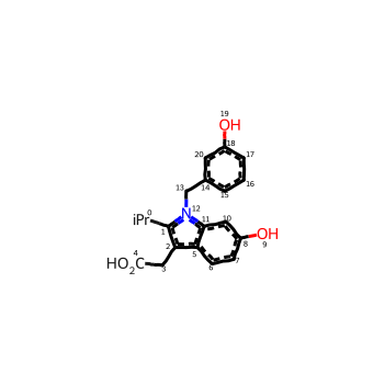 CC(C)c1c(CC(=O)O)c2ccc(O)cc2n1Cc1cccc(O)c1